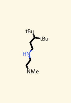 CNCCNCCC(C(C)(C)C)C(C)(C)C